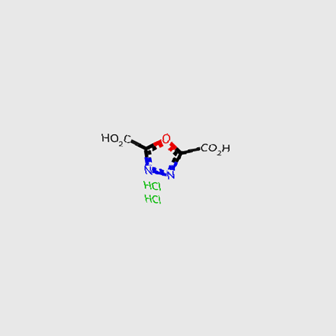 Cl.Cl.O=C(O)c1nnc(C(=O)O)o1